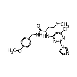 COc1ccc(CNC(=O)C(CCSC)Nc2cc(Cl)nc(-n3ccnc3)n2)cc1